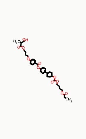 C=CC(=O)OCCCCOC(=O)Oc1ccc(-c2ccc(OC(=O)c3ccc(OCCCCOC(=O)C(=C)CO)cc3)cc2)cc1